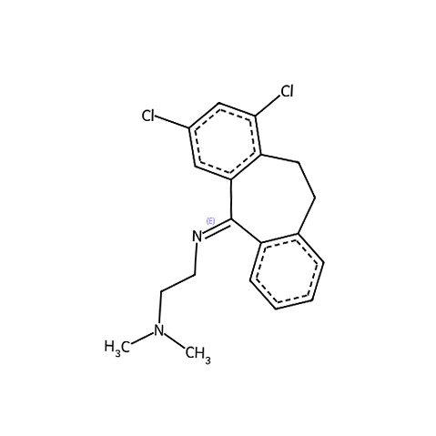 CN(C)CC/N=C1\c2ccccc2CCc2c(Cl)cc(Cl)cc21